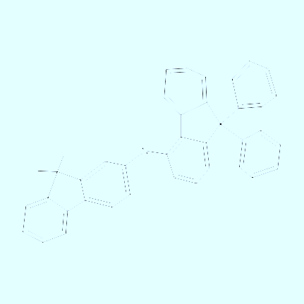 CC1(C)c2ccccc2-c2ccc(Nc3cccc4c3-c3ccccc3C4(c3ccccc3)c3ccccc3)cc21